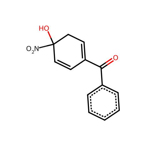 O=C(C1=CCC(O)([N+](=O)[O-])C=C1)c1ccccc1